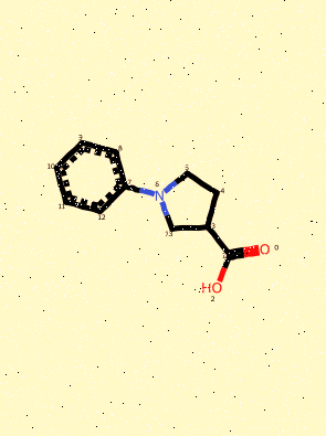 O=C(O)C1CCN(c2cc[c]cc2)C1